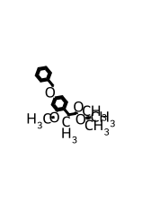 COc1cc(OCc2ccccc2)ccc1C(C)C(=O)OC(C)(C)C